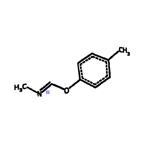 C/N=C/Oc1ccc(C)cc1